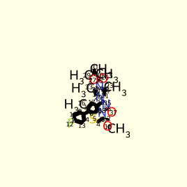 COC[C@H]1CSc2c(-c3ccc(F)cc3)c(C)cc3c(N4C[C@@H](C)N(C(=O)OC(C)(C)C)[C@@H](C)C4)nc(=O)n1c23